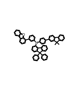 CC1(C)c2ccccc2-c2ccc(-c3ccc(N(c4cccc(-c5cccc6c5oc5ccccc56)c4)c4cccc5c4-c4ccccc4C5(c4ccccc4)c4ccccc4)cc3)cc21